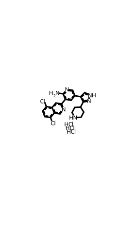 Cl.Cl.Cl.Nc1ncc(-c2c[nH]nc2C2CCNCC2)cc1-c1cc2c(Cl)ccc(Cl)c2cn1